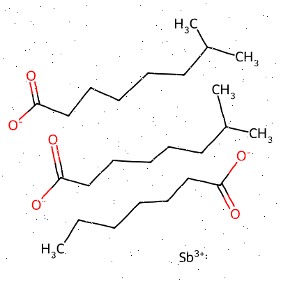 CC(C)CCCCCC(=O)[O-].CC(C)CCCCCC(=O)[O-].CCCCCCC(=O)[O-].[Sb+3]